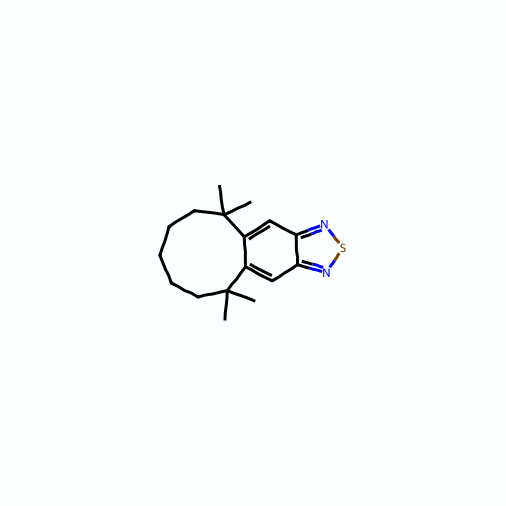 CC1(C)CCCCCC(C)(C)c2cc3nsnc3cc21